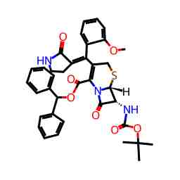 COc1ccccc1C(=C1CCNC1=O)C1=C(C(=O)OC(c2ccccc2)c2ccccc2)N2C(=O)[C@@H](NC(=O)OC(C)(C)C)[C@H]2SC1